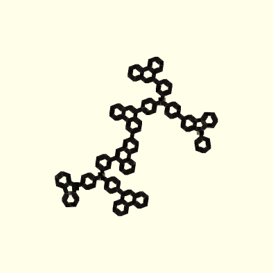 c1ccc(-n2c3ccccc3c3cc(-c4ccc(N(c5ccc(-c6cc7ccccc7c7cc(-c8ccc9c(c8)cc(-c8cccc(N(c%10ccc(-c%11cc%12ccccc%12c%12ccccc%11%12)cc%10)c%10ccc(-n%11c%12ccccc%12c%12ccccc%12%11)cc%10)c8)c8ccccc89)ccc67)cc5)c5cccc(-c6cc7ccccc7c7ccccc67)c5)cc4)ccc32)cc1